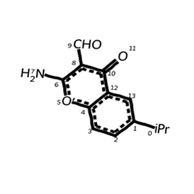 CC(C)c1ccc2oc(N)c(C=O)c(=O)c2c1